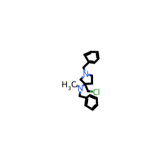 CN(Cc1ccccc1)C1(CCl)CCN(Cc2ccccc2)C1